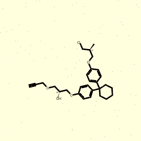 C#CCOC[C@@H](O)COc1ccc(C2(c3ccc(OC[C@H](C)CCl)cc3)CCCCC2)cc1